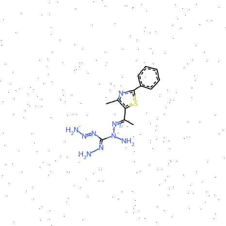 C/C(=N\N(N)C(N=NN)=NN)c1sc(-c2ccccc2)nc1C